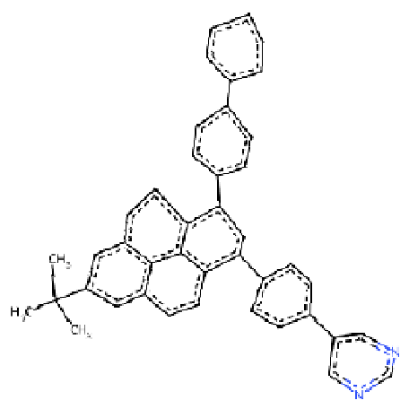 CC(C)(C)c1cc2ccc3c(-c4ccc(-c5ccccc5)cc4)cc(-c4ccc(-c5cncnc5)cc4)c4ccc(c1)c2c34